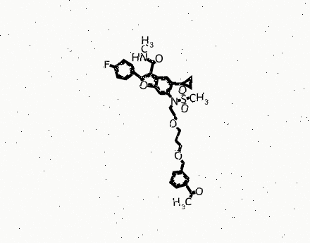 CNC(=O)c1c(-c2ccc(F)cc2)oc2cc(N(CCOCCCOCc3cccc(C(C)=O)c3)S(C)(=O)=O)c(C3CC3)cc12